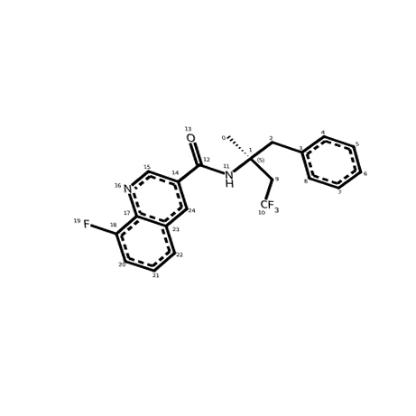 C[C@](Cc1ccccc1)(CC(F)(F)F)NC(=O)c1cnc2c(F)cccc2c1